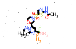 BC(F)(P)C1=NC(=C)N(/N=C\C)C(C2CN(S(=O)(=O)c3cnc(NC(C)=O)s3)CCO2)=C1